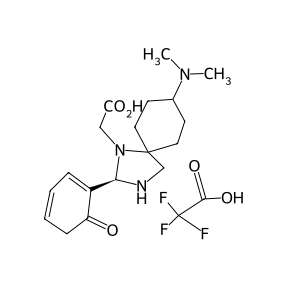 CN(C)C1CCC2(CC1)CN[C@@H](C1=CC=CCC1=O)N2CC(=O)O.O=C(O)C(F)(F)F